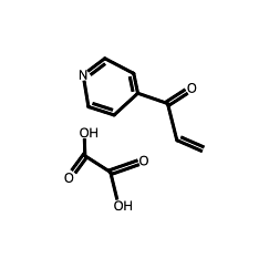 C=CC(=O)c1ccncc1.O=C(O)C(=O)O